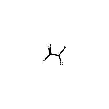 [O]C(F)C(=O)F